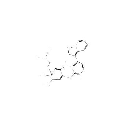 CNC1(CCN(C)C)C=C(OC(F)(F)F)C(Nc2nccc(-c3cnn4ccccc34)n2)=CC1N